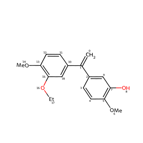 C=C(c1ccc(OC)c(O)c1)c1ccc(OC)c(OCC)c1